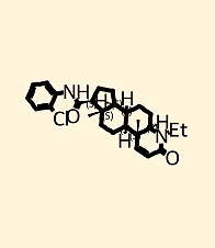 CCN1C(=O)C=C[C@]2(C)[C@H]3CC[C@]4(C)[C@@H](C(=O)Nc5ccccc5Cl)CC[C@H]4[C@@H]3CC[C@@H]12